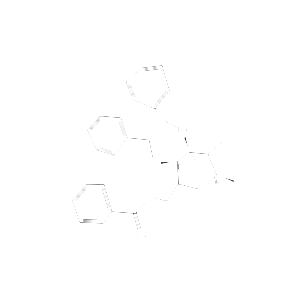 CC1[C@@H](C)OC(COC(=O)c2ccccc2)[C@@H](OCc2ccccc2)[C@H]1OCc1ccccc1